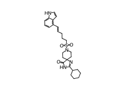 O=C1NC(C2CCCCC2)=NC12CCN(S(=O)(=O)CCC/C=C/c1cccc3[nH]ccc13)CC2